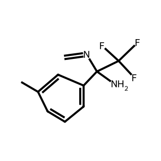 C=NC(N)(c1cccc(C)c1)C(F)(F)F